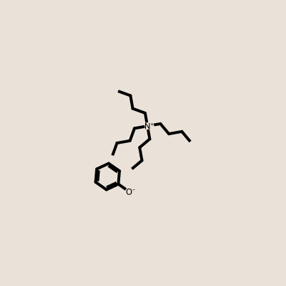 CCCC[N+](CCCC)(CCCC)CCCC.[O-]c1ccccc1